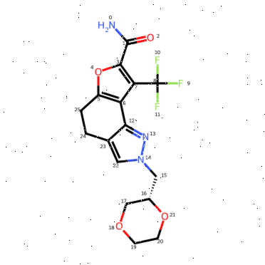 NC(=O)c1oc2c(c1C(F)(F)F)-c1nn(C[C@H]3COCCO3)cc1CC2